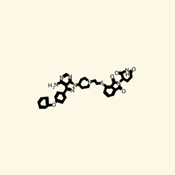 Nc1ncnc2c1c(-c1ccc(Oc3ccccc3)cc1)nn2C1CCN(CCSc2cccc3c2C(=O)N(C2CCC(=O)NC2=O)C3=O)CC1